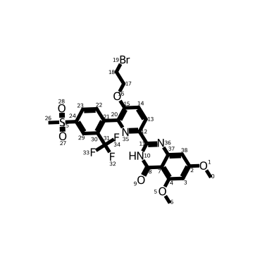 COc1cc(OC)c2c(=O)[nH]c(-c3ccc(OCCBr)c(-c4ccc(S(C)(=O)=O)cc4C(F)(F)F)n3)nc2c1